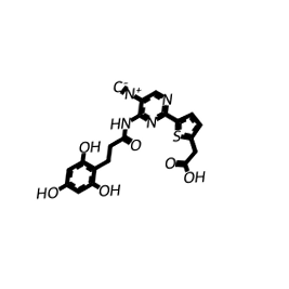 [C-]#[N+]c1cnc(-c2ccc(CC(=O)O)s2)nc1NC(=O)CCc1c(O)cc(O)cc1O